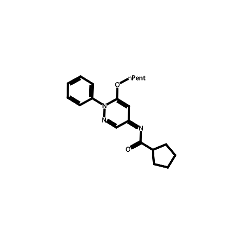 CCCCCOc1cc(=NC(=O)C2CCCC2)cnn1-c1ccccc1